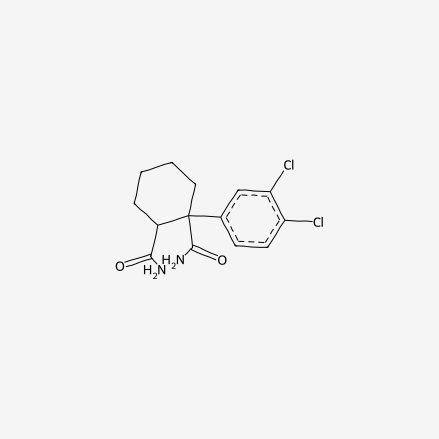 NC(=O)C1CCCCC1(C(N)=O)c1ccc(Cl)c(Cl)c1